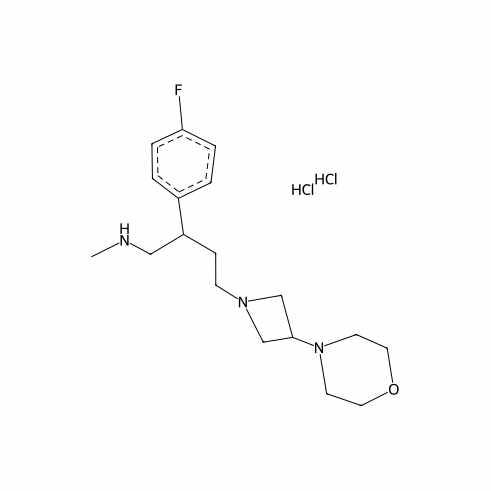 CNCC(CCN1CC(N2CCOCC2)C1)c1ccc(F)cc1.Cl.Cl